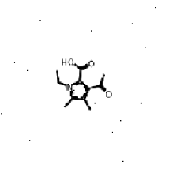 CCn1c(C)c(C)c(C(C)=O)c1C(=O)O